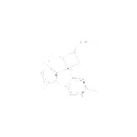 CSC1CC(c2cccc(Br)c2)(c2nncn2C)C1